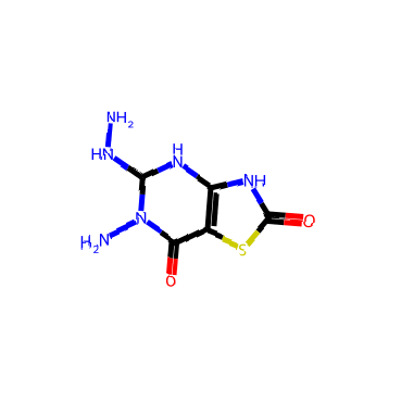 NNC1Nc2[nH]c(=O)sc2C(=O)N1N